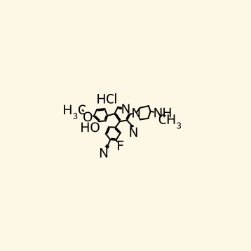 CNC1CCN(c2ncc(-c3ccc(OC)c(O)c3)c(-c3ccc(C#N)c(F)c3)c2C#N)CC1.Cl